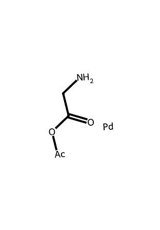 CC(=O)OC(=O)CN.[Pd]